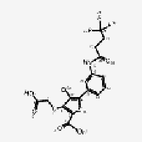 O=C(O)COc1c(C(=O)O)sc(-c2cccc(NC(=O)CCC(F)(F)F)c2)c1Cl